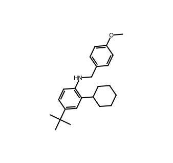 COc1ccc(CNc2ccc(C(C)(C)C)cc2C2CCCCC2)cc1